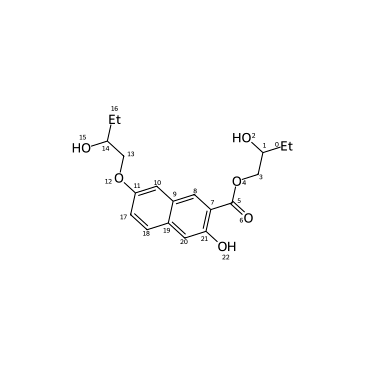 CCC(O)COC(=O)c1cc2cc(OCC(O)CC)ccc2cc1O